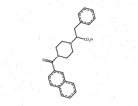 O=C(O)C(Cc1ccccc1)N1CCN(C(=O)c2ccc3ccccc3c2)CC1